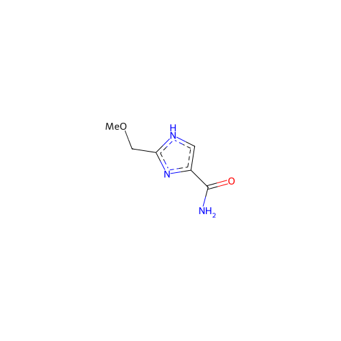 COCc1nc(C(N)=O)c[nH]1